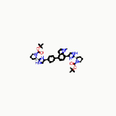 Cn1ccc2c(-c3ccc(-c4c[nH]c([C@@H]5CCCN5C(=O)OC(C)(C)C)n4)cc3)ccc(-c3c[nH]c([C@@H]4CCCN4C(=O)OC(C)(C)C)n3)c21